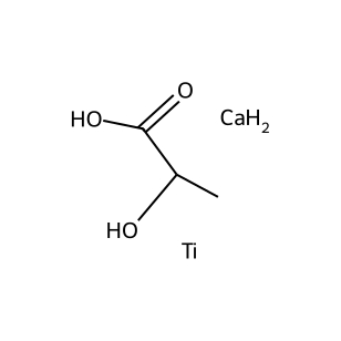 CC(O)C(=O)O.[CaH2].[Ti]